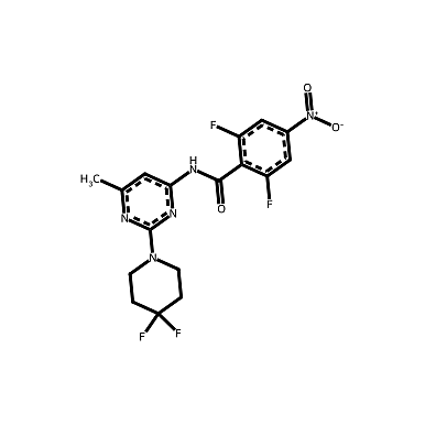 Cc1cc(NC(=O)c2c(F)cc([N+](=O)[O-])cc2F)nc(N2CCC(F)(F)CC2)n1